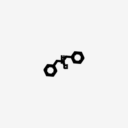 Cl[SiH](Cc1ccccc1)Cc1ccccc1